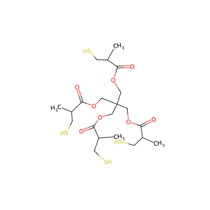 CC(CS)C(=O)OCC(COC(=O)C(C)CS)(COC(=O)C(C)CS)COC(=O)C(C)CS